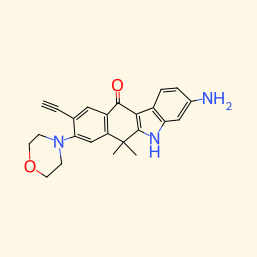 C#Cc1cc2c(cc1N1CCOCC1)C(C)(C)c1[nH]c3cc(N)ccc3c1C2=O